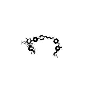 C[C@H]1O[C@@H](c2ccc(N3CCN(CCCCOc4ccc(Oc5ccc(CCN)cc5I)cc4)CC3)cc2)[C@H](Oc2cccc(C(F)(F)F)n2)[C@@H](O)[C@H]1O